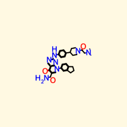 CN(C)CC(=O)N1CCC(c2ccc(Nc3ncc4c(=O)c(C(N)=O)cn(-c5ccc6c(c5)CCC6)c4n3)cc2)CC1